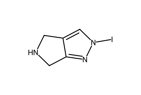 In1cc2c(n1)CNC2